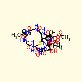 CC[C@H](C)[C@@H]1NC(=O)CNC(=O)C2Cc3c([nH]c4c(OC(C)=O)cccc34)SCC(NC(=O)CNC1=O)C(=O)NC(C=O)(CC(N)=O)N1C[C@H](O)C[C@H]1C(=O)N[C@@H]([C@@H](C)[C@H](COC(C)=O)OC(C)=O)C(=O)N2